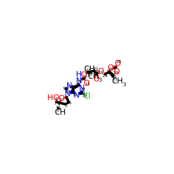 C#C[C@@]1(CO)CC[C@H](n2cnc3c(NC(=O)OC(C)(C)CC(=O)OCc4oc(=O)oc4C)nc(Cl)nc32)O1